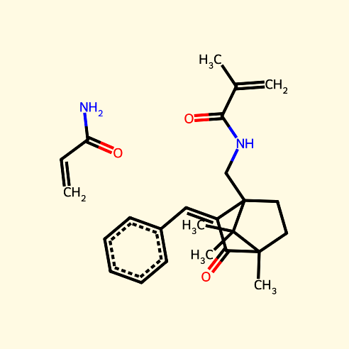 C=C(C)C(=O)NCC12CCC(C)(C(=O)C1=Cc1ccccc1)C2(C)C.C=CC(N)=O